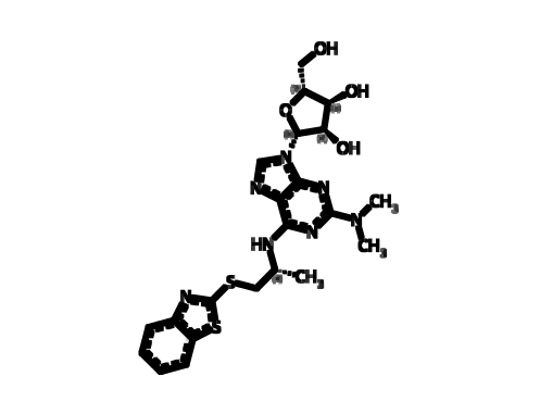 C[C@H](CSc1nc2ccccc2s1)Nc1nc(N(C)C)nc2c1ncn2[C@@H]1O[C@H](CO)[C@@H](O)[C@H]1O